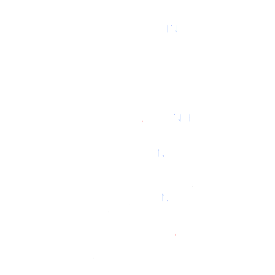 O=C(Nc1ccc2[nH]ccc2c1)N1CCN2C(=O)OC(c3ccccc3)(c3ccccc3)C2C1